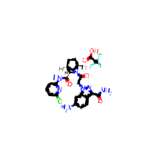 NC(=O)c1nn(CC(=O)N2[C@@H]3CC[C@@H](C3)[C@H]2C(=O)Nc2cccc(Cl)n2)c2cc(N)ccc12.O=C(O)C(F)(F)F